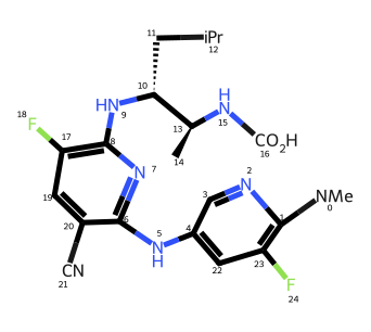 CNc1ncc(Nc2nc(N[C@H](CC(C)C)[C@H](C)NC(=O)O)c(F)cc2C#N)cc1F